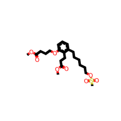 COC(=O)CCCOc1cccc(CCCCCCOS(C)(=O)=O)c1CCC(=O)OC